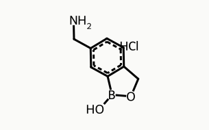 Cl.NCc1ccc2c(c1)B(O)OC2